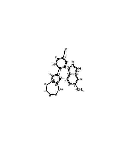 Cc1cc(-c2c(-c3ccc(F)cn3)nn3c2OCCCC3)c2cn[nH]c2n1